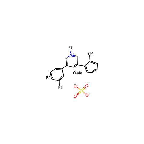 CCCc1ccccc1-c1c[n+](CC)cc(-c2cccc(CC)c2)c1OC.O=S(=O)([O-])[O-].[K+]